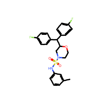 Cc1cccc(NS(=O)(=O)N2CCOC(C(c3ccc(F)cc3)c3ccc(F)cc3)C2)c1